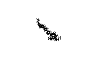 C=C(CO)C(=O)OCC(COC(=O)C(=C)CO)C1CCC(C2CCC(c3ccc4cc(CCCCC)ccc4c3)CC2)CC1